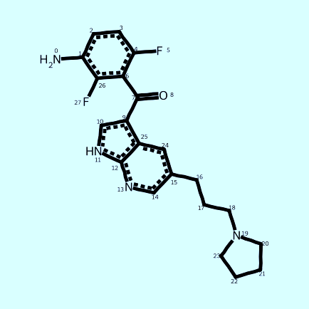 Nc1ccc(F)c(C(=O)c2c[nH]c3ncc(CCCN4CCCC4)cc23)c1F